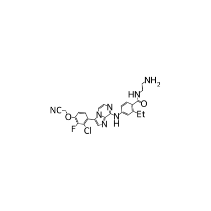 CCc1cc(Nc2nccn3c(-c4ccc(OCC#N)c(F)c4Cl)cnc23)ccc1C(=O)NCCN